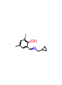 Cc1cc(I)c(O)c(/C=N/CC2CC2)c1